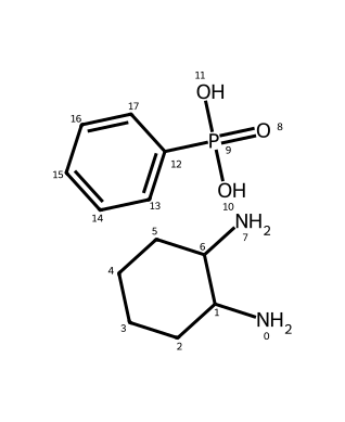 NC1CCCCC1N.O=P(O)(O)c1ccccc1